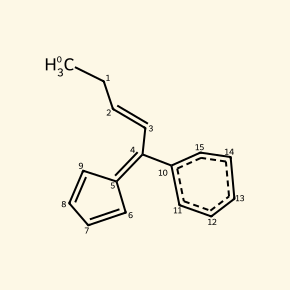 CCC=CC(=C1C=CC=C1)c1ccccc1